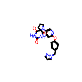 O=C1NC(=O)C2(CCCN2c2ccc(Oc3ccc(Cn4cccn4)cc3)nc2)C(=O)N1